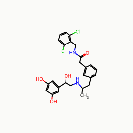 CC(Cc1cccc(CC(=O)NCc2c(Cl)cccc2Cl)c1)NCC(O)c1cc(O)cc(O)c1